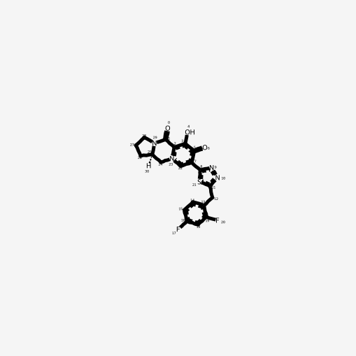 O=C1c2c(O)c(=O)c(-c3nnc(Cc4ccc(F)cc4F)s3)cn2C[C@H]2CCCN12